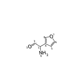 NC([C]=O)c1ccoc1